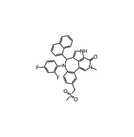 Cn1cc2c3c(c[nH]c3c1=O)C(c1cccc3ccccc13)N(c1ccc(F)cc1F)c1ccc(CS(C)(=O)=O)cc1-2